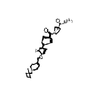 CC1(CN2CCC(COc3ccc(-c4ccc(C(=O)N5CCC[C@H](C(N)=O)C5)cc4)cc3F)CC2)CCC1